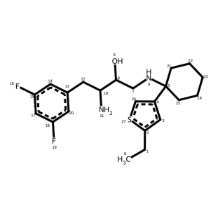 CCc1cc(C2(NCC(O)C(N)Cc3cc(F)cc(F)c3)CCCCC2)cs1